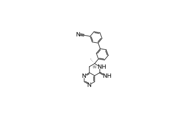 C[C@@]1(c2cccc(-c3cccc(C#N)c3)c2)Cc2ncncc2C(=N)N1